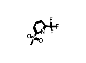 CS(=O)(=O)c1cccc(C(F)(F)F)n1